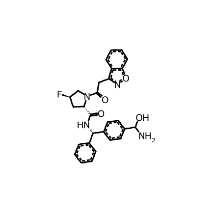 NC(O)c1ccc([C@@H](NC(=O)[C@@H]2C[C@@H](F)CN2C(=O)Cc2noc3ccccc23)c2ccccc2)cc1